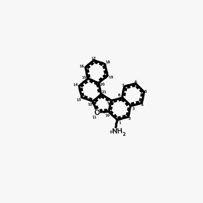 Nc1cc2ccccc2c2c1oc1ccc3ccccc3c12